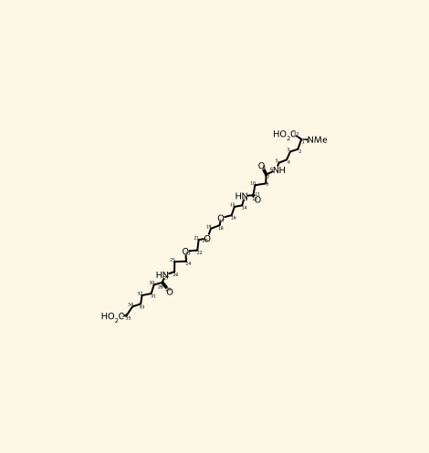 CN[C@@H](CCCCNC(=O)CCC(=O)NCCCOCCOCCOCCCNC(=O)CCCCCCC(=O)O)C(=O)O